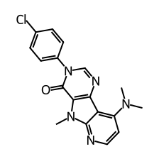 CN(C)c1ccnc2c1c1ncn(-c3ccc(Cl)cc3)c(=O)c1n2C